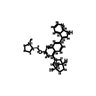 CN1CCC[C@H]1COc1nc(N2C[C@H]3CC[C@@H](C2)N3)c2ccc(-c3c[nH]c4ncccc34)cc2n1